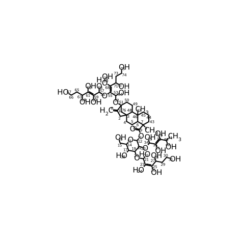 C=C1CC23CCC4C(C)(C(=O)OC5OC(CO)C(O)C(OC(O)/C(O)=C(/O)C(O)CCO)C5OC(O)/C(O)=C(\O)C(C)O)CCCC4(C)C2CCC1(OC(O)/C(OC(O)/C(O)=C(\O)C(O)CCO)=C(/OO)C(O)CCO)C3